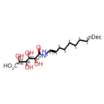 CCCCCCCCCCCCCCCC/C=C/NC(=O)[C@@H](O)[C@H](O)[C@@H](O)[C@@H](O)C(=O)O